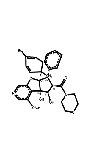 COc1cncc2c1[C@]1(O)[C@H](O)[C@H](C(=O)N3CCOCC3)[C@@H](c3ccccc3)[C@]1(C1(C)C=CC(Br)=CC1)O2